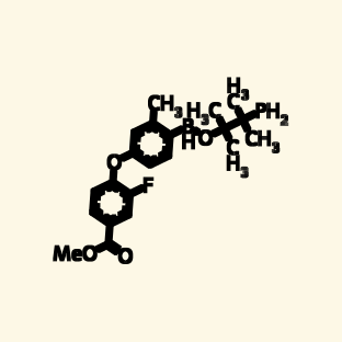 COC(=O)c1ccc(Oc2ccc(BOC(C)(C)C(C)(C)P)c(C)c2)c(F)c1